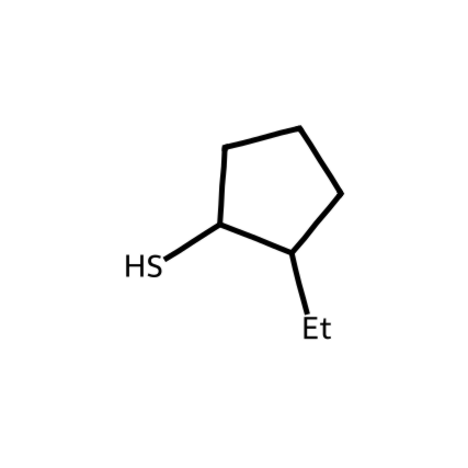 CCC1CCCC1S